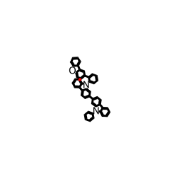 c1ccc(-n2c3ccccc3c3ccc(-c4ccc5c6ccccc6n(-c6ccccc6-c6ccc7oc8ccccc8c7c6)c5c4)cc32)cc1